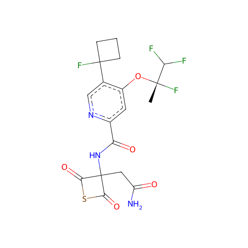 C[C@@](F)(Oc1cc(C(=O)NC2(CC(N)=O)C(=O)SC2=O)ncc1C1(F)CCC1)C(F)F